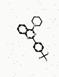 FC(F)(F)c1ccc(-c2nc(N3CCCCC3)c3ccccc3n2)cc1